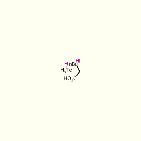 CCCCCC(=O)O.I.I.[TeH2]